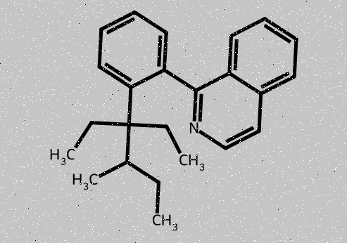 CCC(C)C(CC)(CC)c1ccccc1-c1nccc2ccccc12